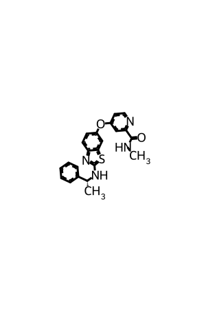 CNC(=O)c1cc(Oc2ccc3nc(N[C@H](C)c4ccccc4)sc3c2)ccn1